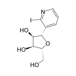 OC[C@H]1O[C@@H](c2cccnc2I)[C@H](O)[C@@H]1O